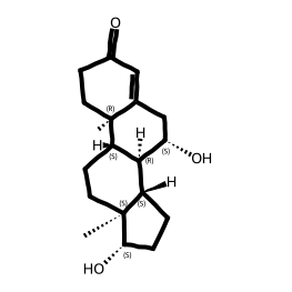 C[C@]12CC[C@H]3[C@@H]([C@@H](O)CC4=CC(=O)CC[C@@]43C)[C@@H]1CC[C@@H]2O